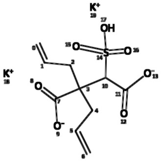 C=CCC(CC=C)(C(=O)[O-])C(C(=O)[O-])S(=O)(=O)O.[K+].[K+]